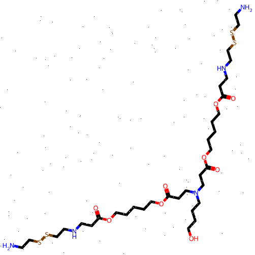 NCCSSCCNCCC(=O)OCCCCCOC(=O)CCN(CCCCO)CCC(=O)OCCCCCOC(=O)CCNCCSSCCN